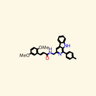 COc1ccc(OC)c(/C=C/C(=O)NCc2cc3c([nH]c4ccccc43)c(-c3ccc(C)cc3)n2)c1